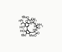 CCCC(I)c1cc2cc(c1O)-c1cc(cc(C(C)(C)C)c1O)C[C@@H](C(=O)OC)NC(=O)[C@H](N)NC(=O)[C@H]2N(C)C(=O)OC(C)(C)C